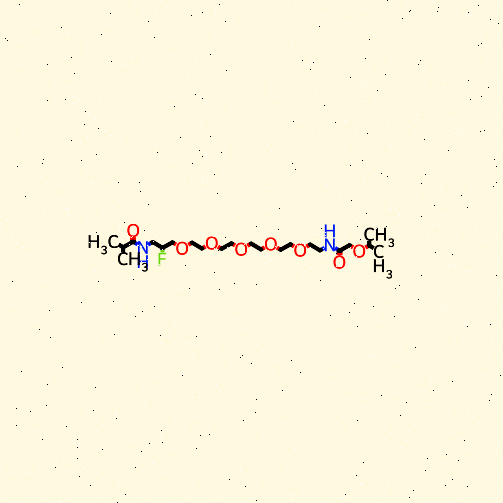 CC(C)OCC(=O)NCCOCCOCCOCCOCCOCC(F)CNC(=O)C(C)C